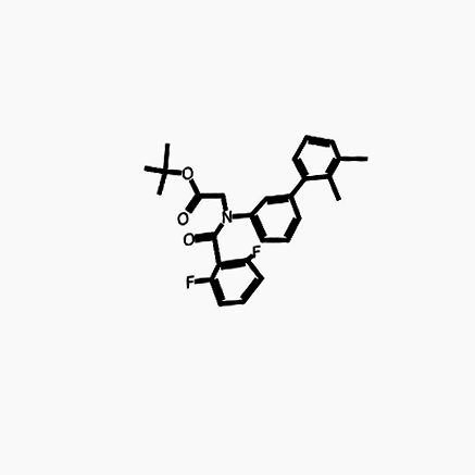 Cc1cccc(-c2cccc(N(CC(=O)OC(C)(C)C)C(=O)c3c(F)cccc3F)c2)c1C